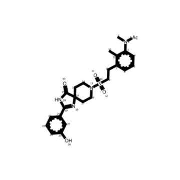 CC(=O)N(C)c1cccc(CCS(=O)(=O)N2CCC3(CC2)N=C(c2cccc(O)c2)NC3=O)c1C